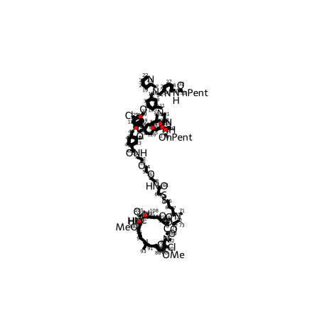 CCCCCC(=O)Nc1cccc(CN(Cc2cc(CN(Cc3ccccn3)Cc3cccc(NC(=O)CCCCC)n3)cc(OCCCCN(Cc3ccc(C(=O)NCCOCCOCCNC(=O)CSSCCCC(=O)N(C)[C@H](C)C(=O)OC4CC(=O)N(C)c5cc(cc(OC)c5Cl)C/C(C)=C/C=C\[C@H](OC)[C@]5(O)C[C@@H](OC(=O)N5)[C@H](C)C5O[C@]45C)cc3)C(=O)C3(c4ccc(Cl)cc4)CCCCC3)c2)Cc2ccccn2)n1